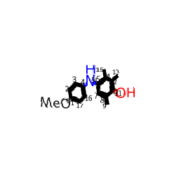 COc1ccc(Nc2cc(C)c(O)c(C)c2C)cc1